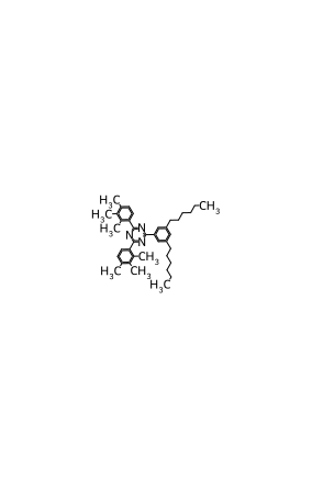 CCCCCCc1cc(CCCCCC)cc(-c2nc(-c3ccc(C)c(C)c3C)nc(-c3ccc(C)c(C)c3C)n2)c1